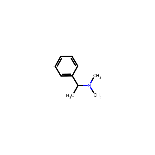 CC(c1c[c]ccc1)N(C)C